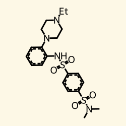 CCN1CCN(c2ccccc2NS(=O)(=O)c2ccc(S(=O)(=O)N(C)C)cc2)CC1